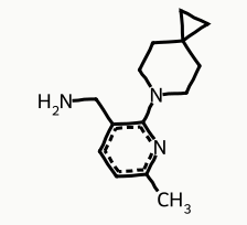 Cc1ccc(CN)c(N2CCC3(CC2)CC3)n1